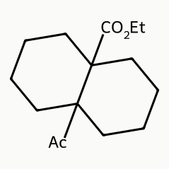 CCOC(=O)C12CCCCC1(C(C)=O)CCCC2